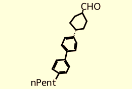 CCCCCc1ccc(-c2ccc([C@H]3CC[C@H](C=O)CC3)cc2)cc1